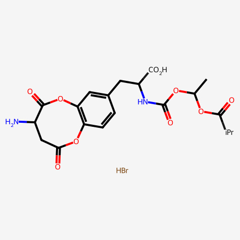 Br.CC(OC(=O)NC(Cc1ccc2c(c1)OC(=O)C(N)CC(=O)O2)C(=O)O)OC(=O)C(C)C